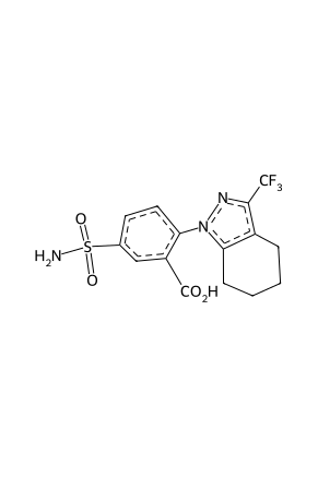 NS(=O)(=O)c1ccc(-n2nc(C(F)(F)F)c3c2CCCC3)c(C(=O)O)c1